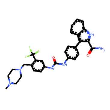 CN1CCN(Cc2ccc(NC(=O)Nc3ccc(-c4c(C(N)=O)[nH]c5ccccc45)cc3)cc2C(F)(F)F)CC1